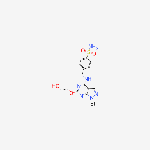 CCn1ncc2c(NCc3ccc(S(N)(=O)=O)cc3)nc(OCCO)nc21